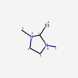 CCC1N(C)CCN1C